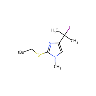 Cn1cc(C(C)(C)I)nc1SCC(C)(C)C